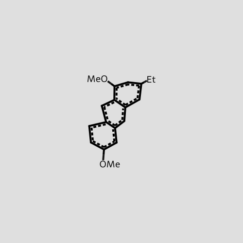 CCc1cc(OC)c2cc3ccc(OC)cc3cc2c1